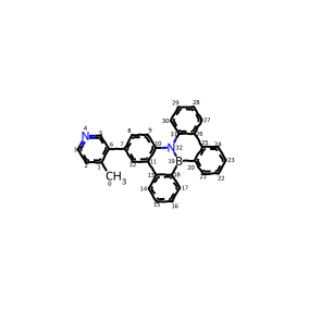 Cc1ccncc1-c1ccc2c(c1)-c1ccccc1B1c3ccccc3-c3ccccc3N12